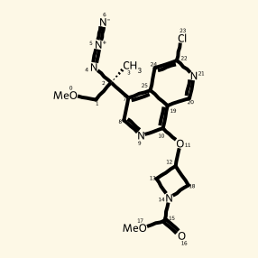 COC[C@@](C)(N=[N+]=[N-])c1cnc(OC2CN(C(=O)OC)C2)c2cnc(Cl)cc12